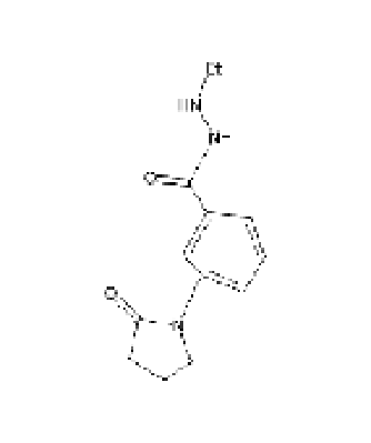 CCNNC(=O)c1cccc(N2CCCC2=O)c1